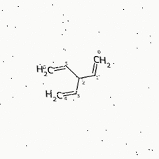 C=C[C](C=C)C=C